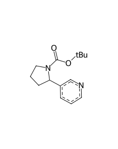 CC(C)(C)OC(=O)N1CCCC1c1cccnc1